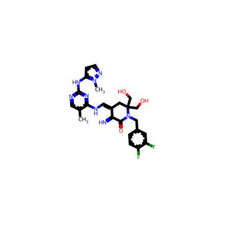 Cc1cnc(Nc2ccnn2C)nc1N/C=C1/CC(CO)(CO)N(Cc2ccc(F)c(F)c2)C(=O)C1=N